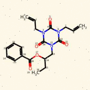 C=CCn1c(=O)n(CC=C)c(=O)n(CC(CC)OC(=O)c2ccccc2)c1=O